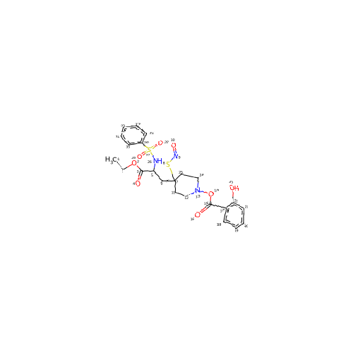 CCOC(=O)C(CC1(SN=O)CCN(OC(=O)c2ccccc2O)CC1)NS(=O)(=O)c1ccccc1